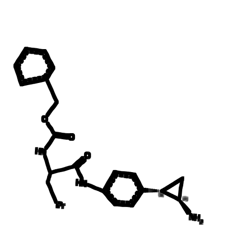 CC(C)CC(NC(=O)OCc1ccccc1)C(=O)Nc1ccc([C@@H]2C[C@H]2N)cc1